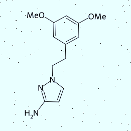 COc1cc(CCn2ccc(N)n2)cc(OC)c1